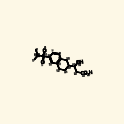 CN(C)S(=O)(=O)c1ccc2c(c1)CCC(C(O)CC(=O)O)C2